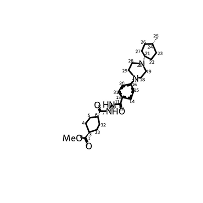 COC(=O)[C@H]1CC[C@H](C(=O)NNC(=O)c2ccc(N3CCN([C@H]4CC[C@@H](C)CC4)CC3)cc2)CC1